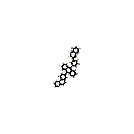 c1ccc2c(c1)ccc1cc(-c3c4ccccc4c(-c4ccc5sc6c7ccccc7ccc6c5c4)c4ccccc34)ccc12